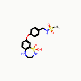 CS(=O)(=O)NCc1ccc(Oc2ccc3c(c2)S(O)(O)NCCN3)cc1